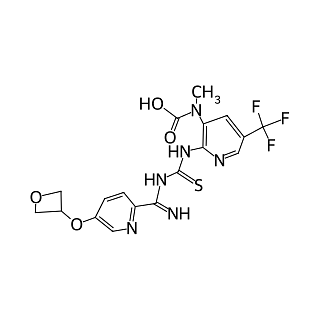 CN(C(=O)O)c1cc(C(F)(F)F)cnc1NC(=S)NC(=N)c1ccc(OC2COC2)cn1